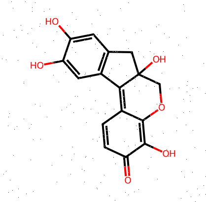 O=C1C=CC2=C3c4cc(O)c(O)cc4CC3(O)COC2=C1O